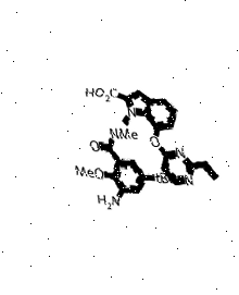 C=Cc1nccc(Oc2cccc3cc(C(=O)O)n(C)c23)n1.CNC(=O)c1cc(C(C)(C)C)cc(N)c1OC